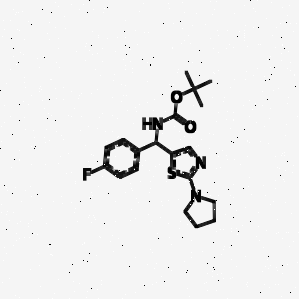 CC(C)(C)OC(=O)NC(c1ccc(F)cc1)c1cnc(N2CCCC2)s1